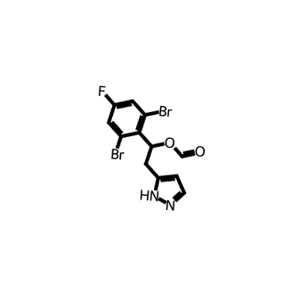 O=COC(Cc1ccn[nH]1)c1c(Br)cc(F)cc1Br